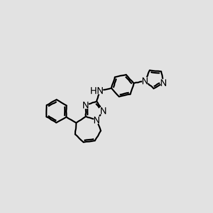 C1=CCn2nc(Nc3ccc(-n4ccnc4)cc3)nc2C(c2ccccc2)C1